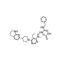 CCc1c(NC[C@H](NC(=O)NCc2ccccc2)C(=O)O)ncnc1N1CCC(c2ccc3c(n2)NCCC3)CC1